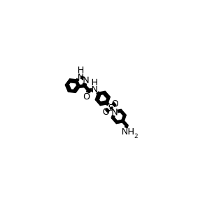 NCC1CCN(S(=O)(=O)c2ccc(NC(=O)c3n[nH]c4ccccc34)cc2)CC1